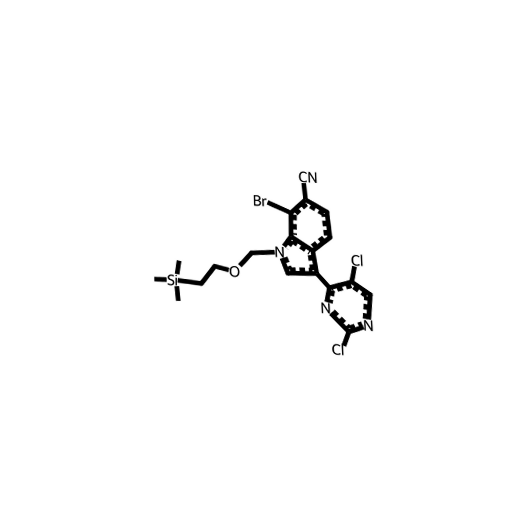 C[Si](C)(C)CCOCn1cc(-c2nc(Cl)ncc2Cl)c2ccc(C#N)c(Br)c21